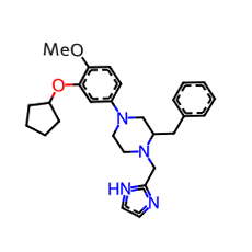 COc1ccc(N2CCN(Cc3ncc[nH]3)C(Cc3ccccc3)C2)cc1OC1CCCC1